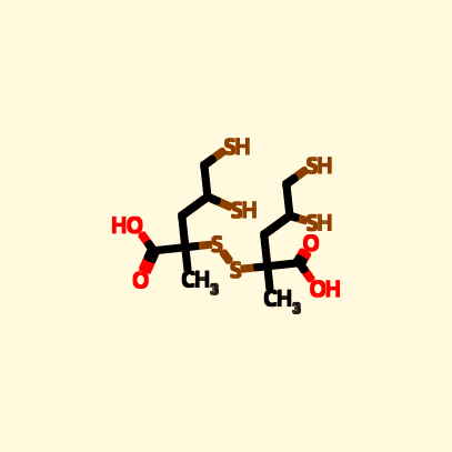 CC(CC(S)CS)(SSC(C)(CC(S)CS)C(=O)O)C(=O)O